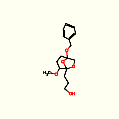 COC1CCC2(OCc3ccccc3)COC1(CCCO)O2